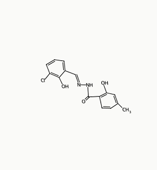 Cc1ccc(C(=O)N/N=C/c2cccc(Cl)c2O)c(O)c1